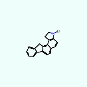 CCN1CCc2c1ccc1ccc3c(c21)Cc1ccccc1-3